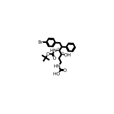 CC(C)(C)OC(=O)N[C@@H](C(Cc1ccc(Br)cc1)c1ccccc1)[C@@H](O)CCNC(=O)O